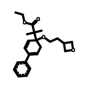 CCOC(=O)C(C)(C)C1(OCCC2COC2)C=CC(c2ccccc2)=CC1